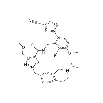 COCc1nn(Cc2ccc3c(c2)CN(C(C)C)CC3)cc1C(=O)NCc1c(-n2cc(C#N)cn2)ccc(OC)c1F